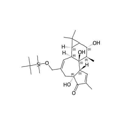 CC1=C[C@H]2[C@@]3(O)[C@H](C)[C@@H](O)C4[C@@H]([C@@H]3C=C(CO[Si](C)(C)C(C)(C)C)C[C@]2(O)C1=O)C4(C)C